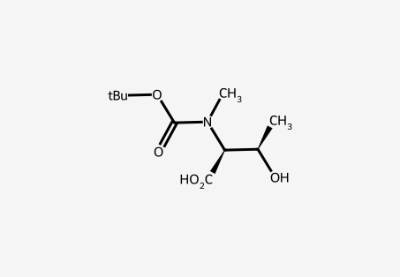 C[C@@H](O)[C@@H](C(=O)O)N(C)C(=O)OC(C)(C)C